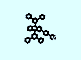 c1ccc(-c2cc(-c3ccccc3)cc(-c3c4ccccc4c(-c4cc(-c5ccccc5)cc(-c5ccccc5)c4)c4cc(-c5ccc(-c6ccncc6)cc5)ccc34)c2)cc1